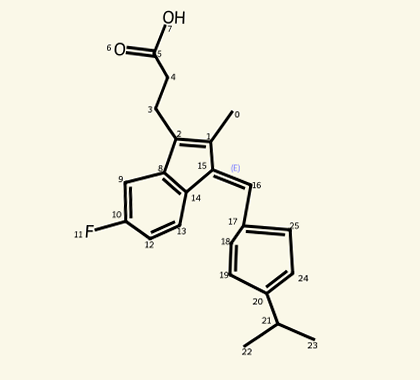 CC1=C(CCC(=O)O)c2cc(F)ccc2/C1=C\c1ccc(C(C)C)cc1